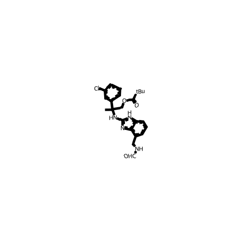 CC(C)(C)C(=O)OCC(C)(Nc1nc2c(CNC=O)cccc2[nH]1)c1cccc(Cl)c1